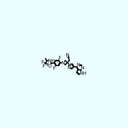 CC(NC(=O)c1cc(F)c(N2CC(CC#N)(n3cc(-c4ncnc5[nH]ccc45)cn3)C2)cc1F)C(F)(F)F